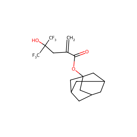 C=C(CC(O)(C(F)(F)F)C(F)(F)F)C(=O)OC12CC3CC(CC(C3)C1)C2